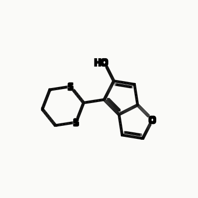 OC1=CC2OC=CC2=C1C1SCCCS1